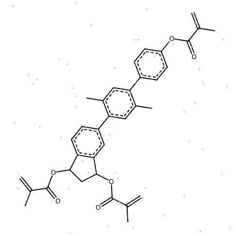 C=C(C)C(=O)Oc1ccc(-c2cc(C)c(-c3ccc4c(c3)C(OC(=O)C(=C)C)CC4OC(=O)C(=C)C)cc2C)cc1